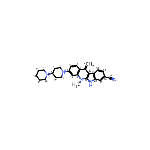 C=C1c2ccc(N3CCC(N4CCCCC4)CC3)cc2N(C)c2[nH]c3cc(C#N)ccc3c21